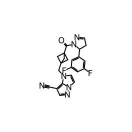 N#Cc1cnn2ccn(CC34CC(C(=O)N5N=CCC5c5cc(F)cc(F)c5)(C3)C4)c12